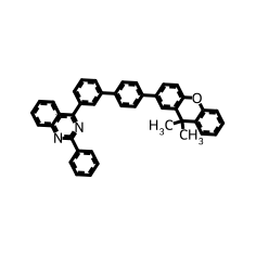 CC1(C)c2ccccc2Oc2ccc(-c3ccc(-c4cccc(-c5nc(-c6ccccc6)nc6ccccc56)c4)cc3)cc21